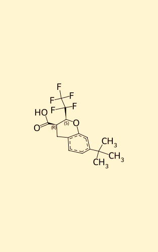 CC(C)(C)c1ccc2c(c1)O[C@H](C(F)(F)C(F)(F)F)[C@H](C(=O)O)C2